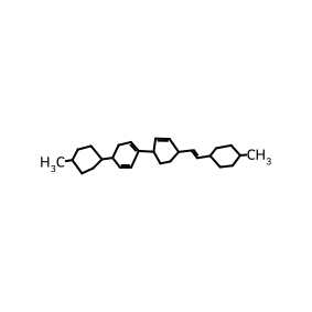 CC1CCC(/C=C/C2C=CC(C3=CCC(C4CCC(C)CC4)C=C3)CC2)CC1